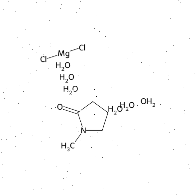 CN1CCCC1=O.O.O.O.O.O.O.[Cl][Mg][Cl]